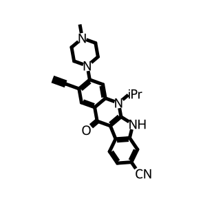 C#Cc1cc2c(=O)c3c4ccc(C#N)cc4[nH]c3n(C(C)C)c2cc1N1CCN(C)CC1